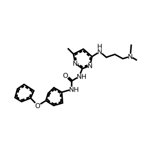 Cc1cc(NCCCN(C)C)nc(NC(=O)Nc2ccc(Oc3ccccc3)cc2)n1